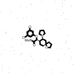 CNC(=O)C(Oc1cc(Cl)cc(Cl)c1)[C@@H]1CC[C@]2(CCCO2)C[C@@H]1N1CCCC1